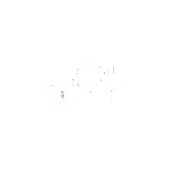 CCC(=O)N1CCNC(C(C)C)C1